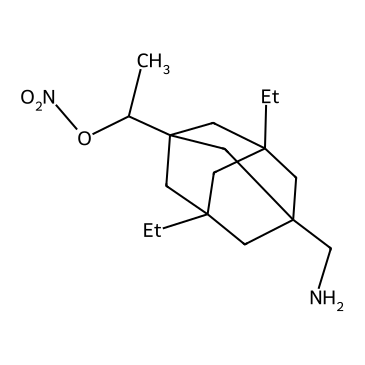 CCC12CC3(CC)CC(CN)(C1)CC(C(C)O[N+](=O)[O-])(C2)C3